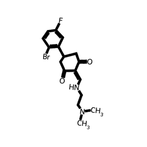 CN(C)CCNC=C1C(=O)CC(c2cc(F)ccc2Br)CC1=O